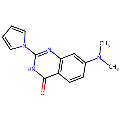 CN(C)c1ccc2c(=O)[nH]c(-n3cccc3)nc2c1